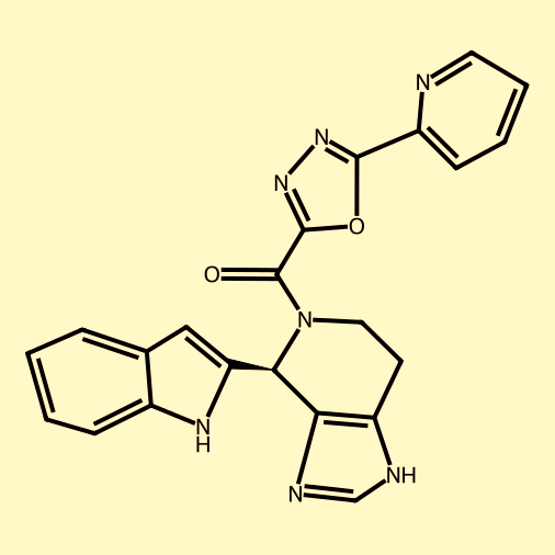 O=C(c1nnc(-c2ccccn2)o1)N1CCc2[nH]cnc2[C@H]1c1cc2ccccc2[nH]1